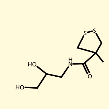 CC1(C(=O)NCC(O)CO)CSSC1